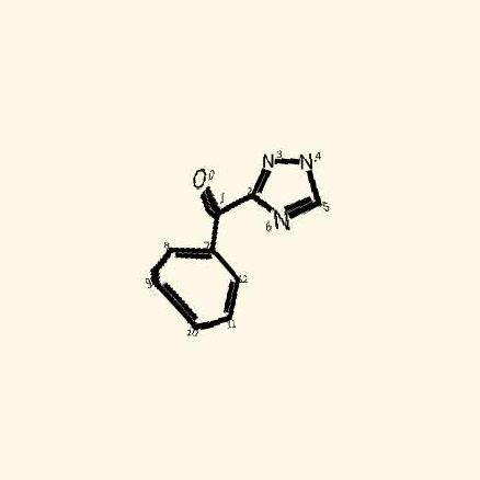 O=C(C1=N[N]C=N1)c1ccccc1